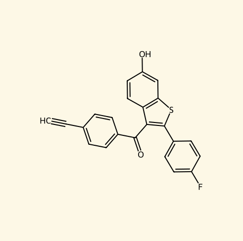 C#Cc1ccc(C(=O)c2c(-c3ccc(F)cc3)sc3cc(O)ccc23)cc1